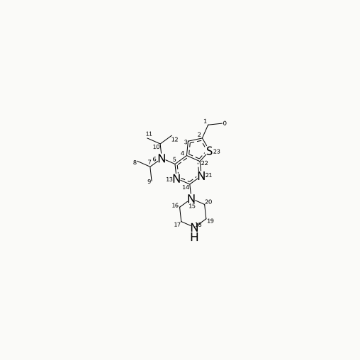 CCc1cc2c(N(C(C)C)C(C)C)nc(N3CCNCC3)nc2s1